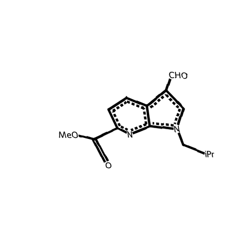 COC(=O)c1ccc2c(C=O)cn(CC(C)C)c2n1